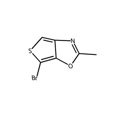 Cc1nc2csc(Br)c2o1